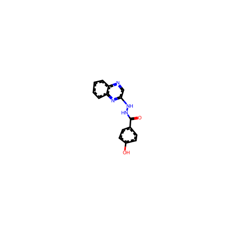 O=C(NNc1cnc2ccccc2n1)c1ccc(O)cc1